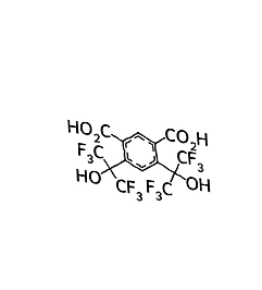 O=C(O)c1cc(C(=O)O)c(C(O)(C(F)(F)F)C(F)(F)F)cc1C(O)(C(F)(F)F)C(F)(F)F